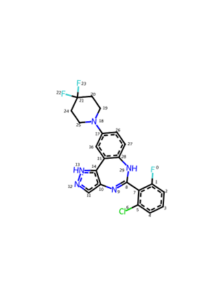 Fc1cccc(Cl)c1C1=Nc2cn[nH]c2-c2cc(N3CCC(F)(F)CC3)ccc2N1